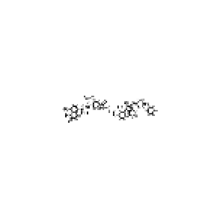 COc1cc(C(=O)NCCCOc2cccc(C(O)(C(=O)OCC3CCN(Cc4ccccc4)CC3)c3ccccc3)c2)ccc1CNCC(O)c1ccc(O)c2[nH]c(=O)ccc12